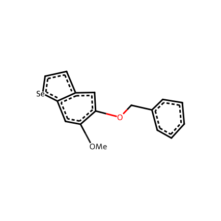 COc1cc2[se]ccc2cc1OCc1ccccc1